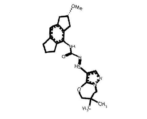 CO[C@H]1Cc2cc3c(c(NC(=O)N=[SH]c4cnn5c4OCC(C)(C)C5)c2C1)CCC3